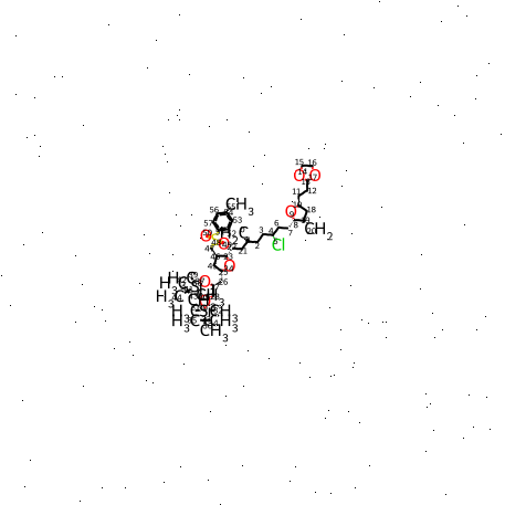 C=C(CC[C@@H](Cl)CC[C@@H]1O[C@@H](CCC2OCCO2)CC1=C)CC[C@@H]1O[C@H](C[C@@H](CO[Si](C)(C)C(C)(C)C)O[Si](C)(C)C(C)(C)C)C[C@H]1CS(=O)(=O)c1ccc(C)cc1